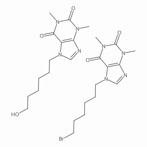 Cn1c(=O)c2c(ncn2CCCCCCBr)n(C)c1=O.Cn1c(=O)c2c(ncn2CCCCCCO)n(C)c1=O